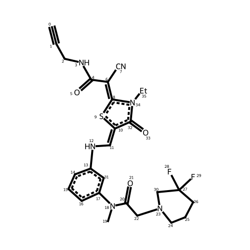 C#CCNC(=O)C(C#N)=c1sc(=CNc2cccc(N(C)C(=O)CN3CCCC(F)(F)C3)c2)c(=O)n1CC